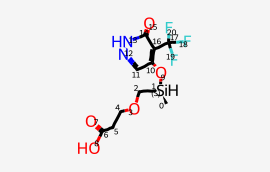 C[Si@@H](COCCC(=O)O)Oc1cn[nH]c(=O)c1C(F)(F)F